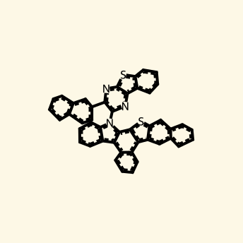 c1ccc2cc(-c3nc4sc5ccccc5c4nc3-n3c4ccccc4c4c5ccccc5c5c6cc7ccccc7cc6sc5c43)ccc2c1